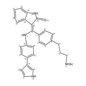 CC(=O)NCCCc1ccc(C(Nc2ccc(-c3c[nH]cn3)cc2)=C2C(=O)Nc3ccccc32)cc1